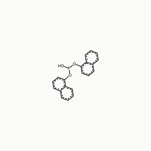 OP(Oc1cccc2ccccc12)Oc1cccc2ccccc12